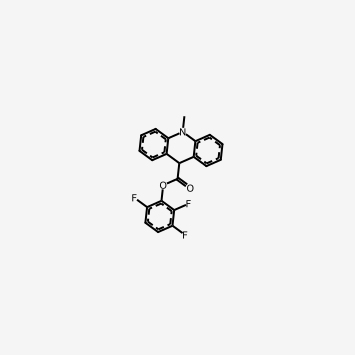 CN1c2ccccc2C(C(=O)Oc2c(F)ccc(F)c2F)c2ccccc21